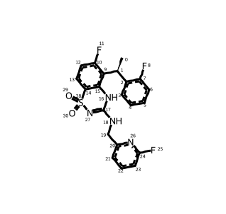 C[C@@H](c1ccccc1F)c1c(F)ccc2c1NC(NCc1cccc(F)n1)=NS2(=O)=O